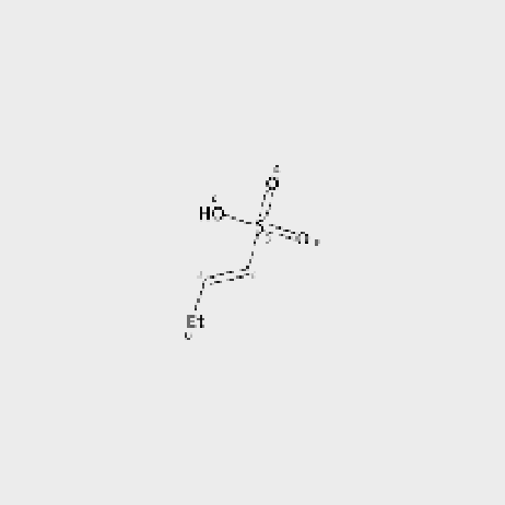 CCC=CS(=O)(=O)O